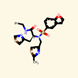 Cc1nc(CN([C@@H](Cc2cscn2)C(=O)NCC(C)C)S(=O)(=O)c2ccc3occc3c2)cs1